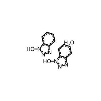 O.On1nnc2ccccc21.On1nnc2ccccc21